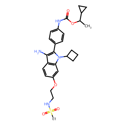 CCS(=O)(=O)NCCOc1ccc2c(N)c(-c3ccc(NC(=O)OC(C)C4CC4)cc3)n(C3CCC3)c2c1